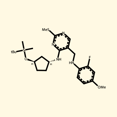 COc1ccc(NCc2cnc(SC)nc2N[C@@H]2CC[C@@H](O[Si](C)(C)C(C)(C)C)C2)c(F)c1